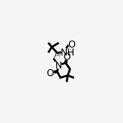 CC1(C)CC(=O)N(C[C@@H](NC=O)C(C)(C)C)C(=O)C1